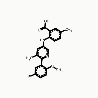 COc1ccc(F)cc1-c1ncc(Nc2ccc(C)cc2C(=O)O)cc1C